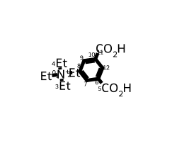 CC[N+](CC)(CC)CC.O=C(O)c1cccc(C(=O)O)c1